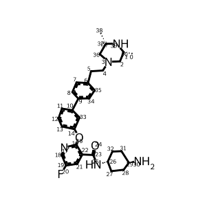 C[C@@H]1CN(CCc2ccc(-c3cccc(Oc4ncc(F)cc4C(=O)N[C@H]4CC[C@H](N)CC4)c3)cc2)C[C@H](C)N1